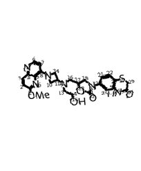 COc1ccc2nccc(N3CC(N(CCO)CC4CN(c5ccc6c(c5)NC(=O)CS6)C(=O)O4)C3)c2n1